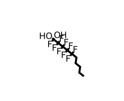 CCCCCC(F)(F)C(F)(F)C(F)(F)C(F)(F)C(O)(O)F